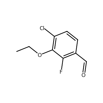 CCOc1c(Cl)ccc(C=O)c1F